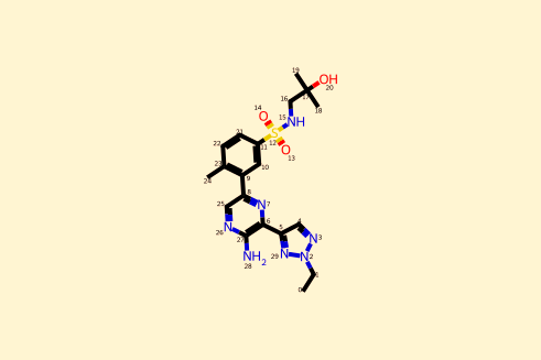 CCn1ncc(-c2nc(-c3cc(S(=O)(=O)NCC(C)(C)O)ccc3C)cnc2N)n1